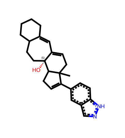 CC12CC=C3C=C4CCCCC4CC[C@]3(O)C1CC=C2c1ccc2[nH]ncc2c1